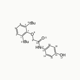 CC(C)(C)c1cccc(C(C)(C)C)c1OCC(=O)Nc1ccc(O)cc1